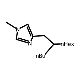 CCCCCCC(CCCC)Cc1cn(C)cn1